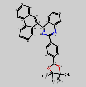 CC1(C)OB(c2ccc(-c3nc(-c4cc5ccccc5c5ccccc45)c4ccccc4n3)cc2)OC1(C)C